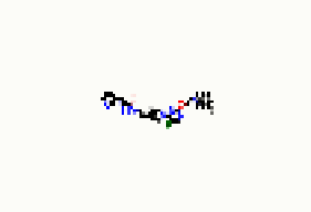 CN(C)CCOc1ncc(F)c(N2C[C@@H]3C(CCNC(=O)/C=C/c4cccnc4)[C@@H]3C2)n1